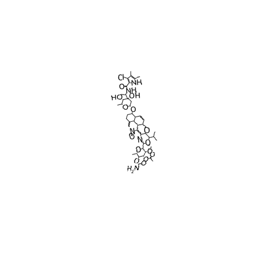 C=C1CCC(OC2CC(O)(C(C)NC(=O)c3[nH]c(C)c(C)c3Cl)C(O)C(C)O2)C2C=CC(C)C(/C(N=O)=C3/N=C(C4OC(C)C(OC(N)=O)C(OC(C)=O)C4OC)OC(C(C)C)C3=O)C12